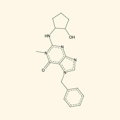 Cn1c(NC2CCCC2O)nc2ncn(Cc3ccccc3)c2c1=O